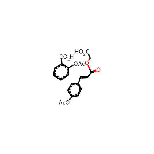 CC(=O)Oc1ccc(C=CC(=O)OCC(=O)O)cc1.CC(=O)Oc1ccccc1C(=O)O